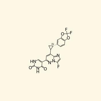 O=c1[nH]cc(-c2cc(C3C[C@@H]3c3ccc4c(c3)OC(F)(F)O4)c3ncc(F)n3n2)c(=O)[nH]1